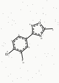 CCc1ccc(-c2noc(C)n2)cc1F